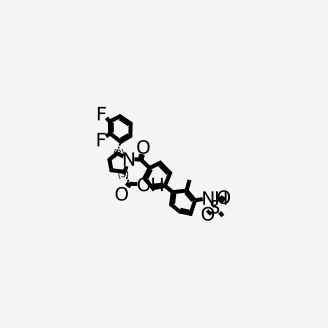 Cc1c(NS(C)(=O)=O)cccc1-c1ccc(C(=O)N2[C@@H](c3cccc(F)c3F)CC[C@H]2C(=O)O)cc1